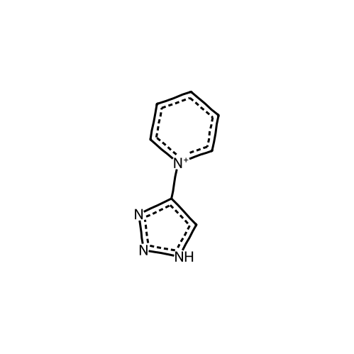 c1cc[n+](-c2c[nH]nn2)cc1